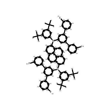 CC(C)(C)c1cc(N(c2cc(-c3cccc(F)c3)cc(-c3cccc(F)c3)c2)c2ccc3ccc4c(N(c5cc(-c6cccc(F)c6)cc(-c6cccc(F)c6)c5)c5cc(C(C)(C)C)cc(C(C)(C)C)c5)ccc5ccc2c3c54)cc(C(C)(C)C)c1